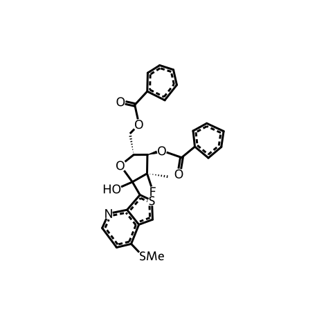 CSc1ccnc2c(C3(O)O[C@H](COC(=O)c4ccccc4)[C@@H](OC(=O)c4ccccc4)[C@@]3(C)F)scc12